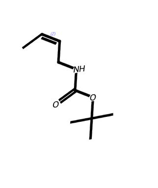 C/C=C\CNC(=O)OC(C)(C)C